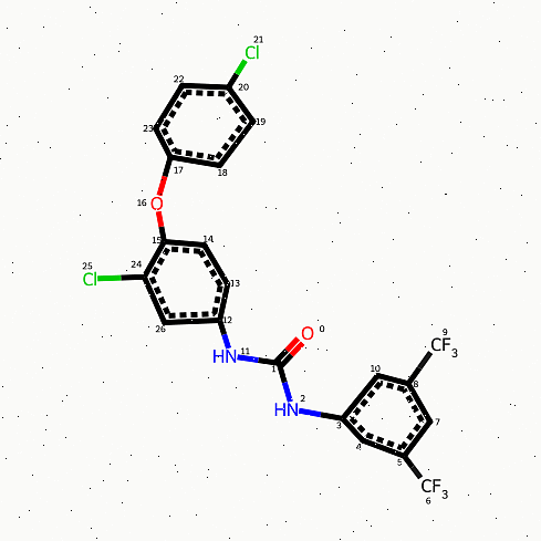 O=C(Nc1cc(C(F)(F)F)cc(C(F)(F)F)c1)Nc1ccc(Oc2ccc(Cl)cc2)c(Cl)c1